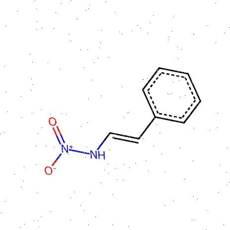 O=[N+]([O-])NC=Cc1ccccc1